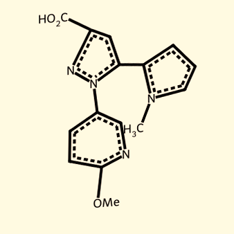 COc1ccc(-n2nc(C(=O)O)cc2-c2cccn2C)cn1